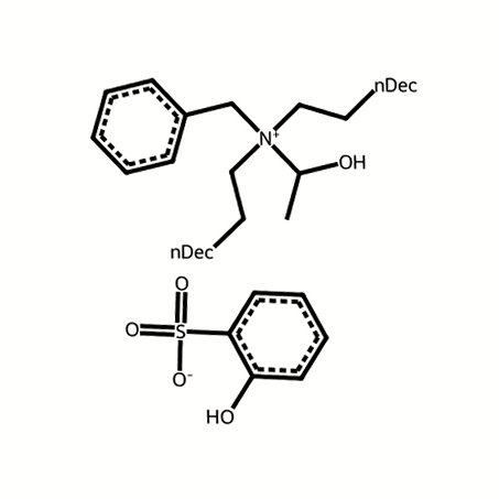 CCCCCCCCCCCC[N+](CCCCCCCCCCCC)(Cc1ccccc1)C(C)O.O=S(=O)([O-])c1ccccc1O